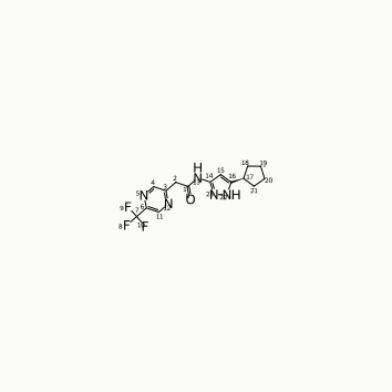 O=C(Cc1cnc(C(F)(F)F)cn1)Nc1cc([C@H]2C[CH]CC2)[nH]n1